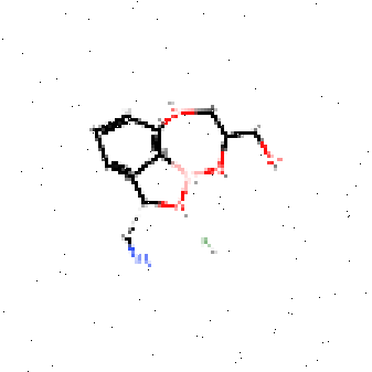 Cl.NC[C@H]1OB2OC(CO)COc3cccc1c32